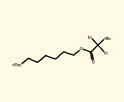 CCCCCCCCCCCCCCCCOC(=O)C(CC)(CC)CCCC